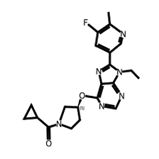 CCn1c(-c2cnc(C)c(F)c2)nc2c(O[C@H]3CCN(C(=O)C4CC4)C3)ncnc21